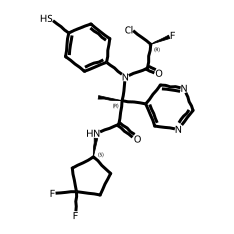 C[C@](C(=O)N[C@H]1CCC(F)(F)C1)(c1cncnc1)N(C(=O)[C@H](F)Cl)c1ccc(S)cc1